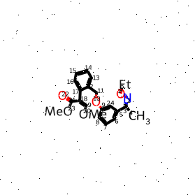 CCO/N=C(/C)c1cccc(OCc2ccccc2/C(=C/OC)C(=O)OC)c1